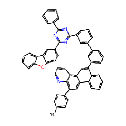 N#Cc1ccc(-c2cc3c4ccccc4c(-c4cccc(-c5cccc(-c6nc(-c7ccccc7)nc(-c7ccc8oc9ccccc9c8c7)n6)c5)c4)cc3c3cccnc23)cc1